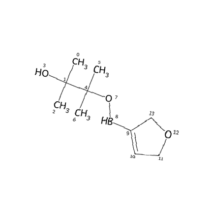 CC(C)(O)C(C)(C)OBC1=CCOC1